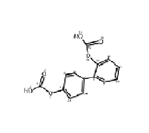 O=C(O)Oc1ccc(-c2ccccc2OC(=O)O)cc1